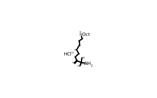 C=C(CCCCCCCCCCCCCC)C(C)(C)N.Cl